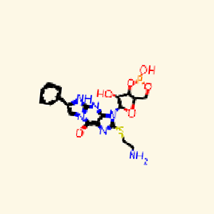 NCCSc1nc2c(=O)n3cc(-c4ccccc4)[nH]c3nc2n1C1OC2COP(O)OC2C1O